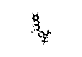 CC(=O)c1nc(C(F)(F)F)n2c1CN(C(=O)CC(N)Cc1cc(F)c(F)cc1F)CC2.Cl